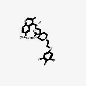 COc1ccc2ncc(C)c([C@H](F)CCC3(C(=O)NO)CCN(CCOc4cc(F)c(F)c(F)c4)CC3)c2c1